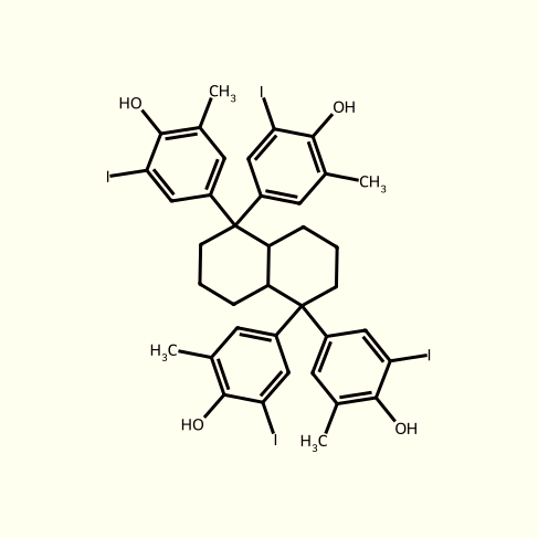 Cc1cc(C2(c3cc(C)c(O)c(I)c3)CCCC3C2CCCC3(c2cc(C)c(O)c(I)c2)c2cc(C)c(O)c(I)c2)cc(I)c1O